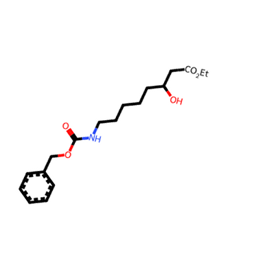 CCOC(=O)CC(O)CCCCCNC(=O)OCc1ccccc1